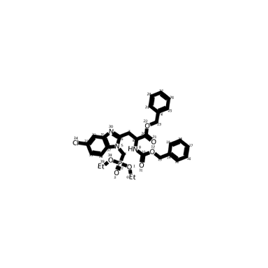 CCOP(=O)(Cn1c(CC(NC(=O)OCc2ccccc2)C(=O)OCc2ccccc2)nc2cc(Cl)ccc21)OCC